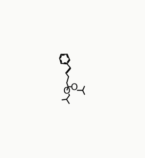 CC(C)COC(CCC=Cc1ccccc1)OCC(C)C